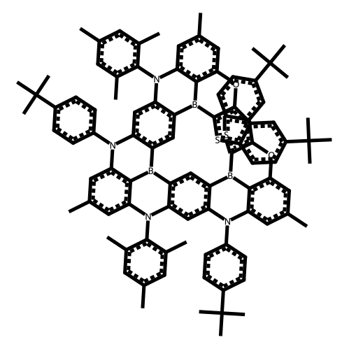 Cc1cc(C)c(N2c3cc4c(cc3B3c5sc6ccc(C(C)(C)C)cc6c5Oc5cc(C)cc2c53)B2c3cc5c(cc3N(c3c(C)cc(C)cc3C)c3cc(C)cc(c32)N4c2ccc(C(C)(C)C)cc2)N(c2ccc(C(C)(C)C)cc2)c2cc(C)cc3c2B5c2sc4ccc(C(C)(C)C)cc4c2O3)c(C)c1